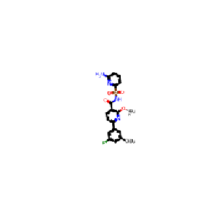 CC[C@@H](C)Oc1nc(-c2cc(F)cc(OCC(C)C)c2)ccc1C(=O)NS(=O)(=O)c1cccc(N)n1